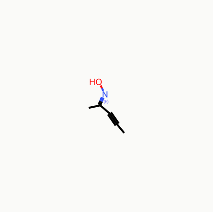 CC#C/C(C)=N/O